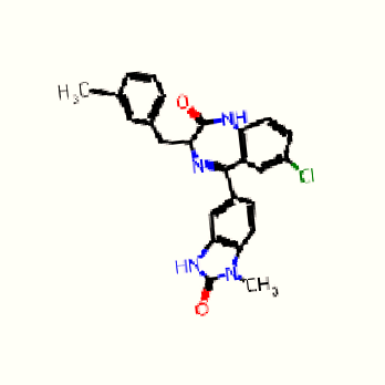 Cc1cccc(CC2N=C(c3ccc4c(c3)[nH]c(=O)n4C)c3cc(Cl)ccc3NC2=O)c1